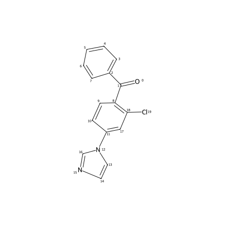 O=C(c1ccccc1)c1ccc(-n2ccnc2)cc1Cl